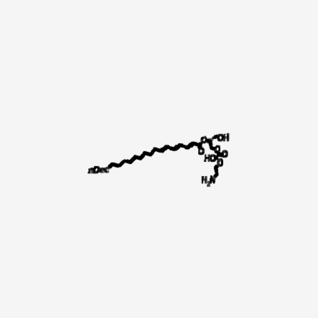 CCCCCCCCCCCCCCCCCCCCCCCCCC(=O)O[C@H](CO)COP(=O)(O)OCCN